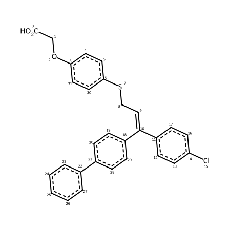 O=C(O)COc1ccc(SCC=C(c2ccc(Cl)cc2)c2ccc(-c3ccccc3)cc2)cc1